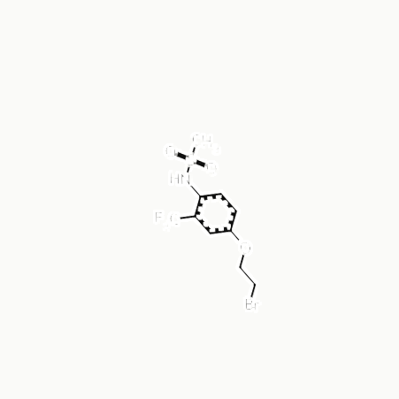 CS(=O)(=O)Nc1ccc(OCCBr)cc1C(F)(F)F